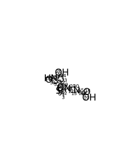 CC(C)(C)[Si](C)(C)O[C@H](CNC1CCN(CCC(=O)O)CC1)c1ccc(O)c2[nH]c(=O)ccc12